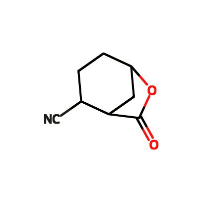 N#CC1CCC2CC1C(=O)O2